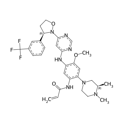 C=CC(=O)Nc1cc(Nc2cc(N3OCC[C@@H]3c3cccc(C(F)(F)F)c3)ncn2)c(OC)cc1N1CCN(C)[C@H](C)C1